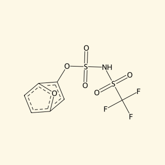 O=S(=O)(NS(=O)(=O)C(F)(F)F)Oc1cc2ccc1o2